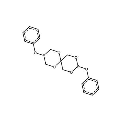 c1ccc(OP2COC3(COP(Oc4ccccc4)OC3)OC2)cc1